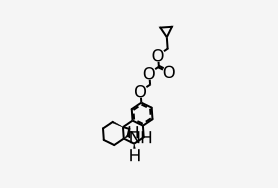 O=C(OCOc1ccc2c(c1)[C@@]13CCCC[C@H]1[C@@H](C2)NCC3)OCC1CC1